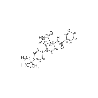 CC(C)(C)c1ccc(-c2ccc(NC(=O)c3ccccc3)c3c2CNC3=O)cc1